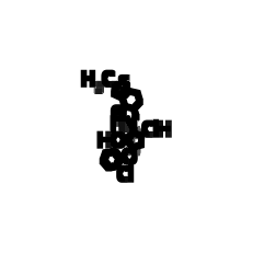 Cc1cc2c(s1)CCC(CN[C@@H]1CC[C@@H](Oc3ccccc3Cl)[C@@H]1O)C2=O.Cl